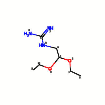 CCOC(CNC(=N)N)OCC